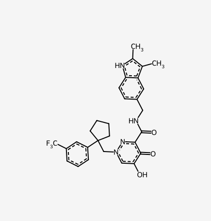 Cc1[nH]c2ccc(CNC(=O)c3nn(CC4(c5cccc(C(F)(F)F)c5)CCCC4)cc(O)c3=O)cc2c1C